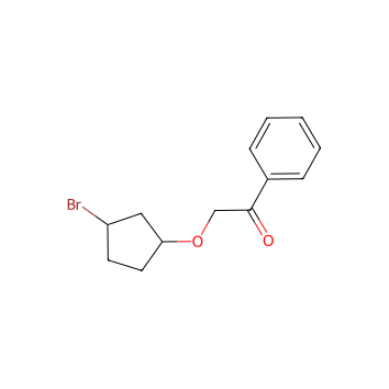 O=C(COC1CCC(Br)C1)c1ccccc1